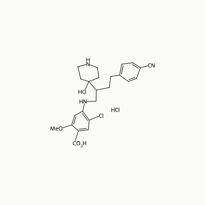 COc1cc(NCC(CCc2ccc(C#N)cc2)C2(O)CCNCC2)c(Cl)cc1C(=O)O.Cl